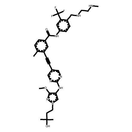 CNCCNCc1ccc(NC(=O)c2ccc(C)c(C#Cc3cnc(Nc4cn(CCC(C)(C)O)nc4OC)nc3)c2)cc1C(F)(F)F